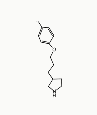 [CH2]c1ccc(OCCCC2CCNC2)cc1